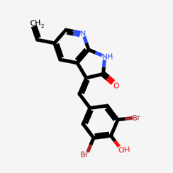 C=Cc1cnc2c(c1)C(=Cc1cc(Br)c(O)c(Br)c1)C(=O)N2